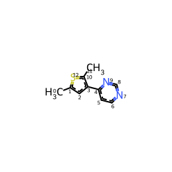 Cc1cc(-c2ccncn2)c(C)s1